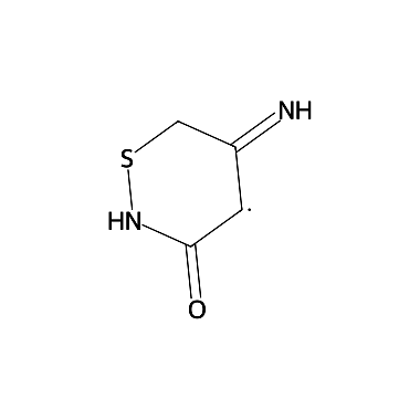 N=C1[CH]C(=O)NSC1